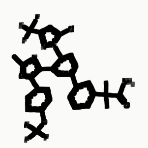 Cc1nc(-c2cc(-c3cccc(C(C)(C)C(N)=O)c3)ccc2-n2nc(C(F)(F)F)cc2Cl)c(-c2ccc(OC(F)(F)F)cc2)o1